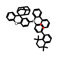 CC1(C)CCC(C)(C)c2c(-c3ccc(N(c4ccc5c(c4)C4(c6ccccc6O5)C5CC6CC(C5)CC4C6)c4ccccc4-c4ccccc4)cc3)cccc21